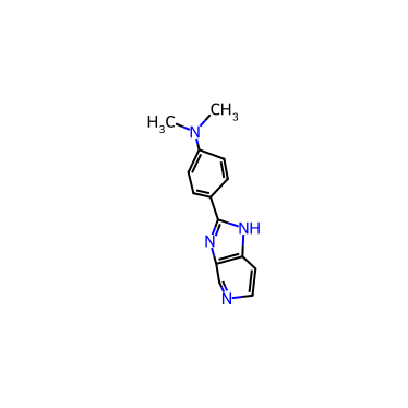 CN(C)c1ccc(-c2nc3cnccc3[nH]2)cc1